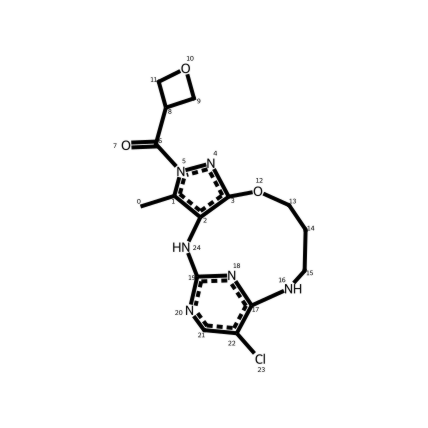 Cc1c2c(nn1C(=O)C1COC1)OCCCNc1nc(ncc1Cl)N2